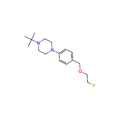 CC(C)(C)N1CCN(c2ccc(COCCF)cc2)CC1